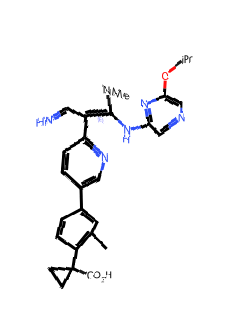 CN/C(Nc1cncc(OC(C)C)n1)=C(\C=N)c1ccc(-c2ccc(C3(C(=O)O)CC3)c(C)c2)cn1